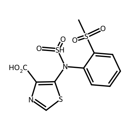 CS(=O)(=O)c1ccccc1N(c1scnc1C(=O)O)[SH](=O)=O